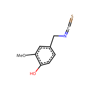 COc1cc(CN=C=S)ccc1O